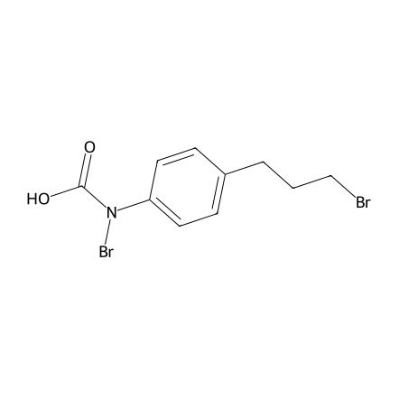 O=C(O)N(Br)c1ccc(CCCBr)cc1